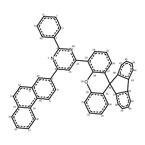 c1ccc(-c2nc(-c3ccc4c(ccc5ccccc54)c3)cc(-c3cccc4c3Oc3ccccc3C43c4ccccc4-c4ccccc43)n2)cc1